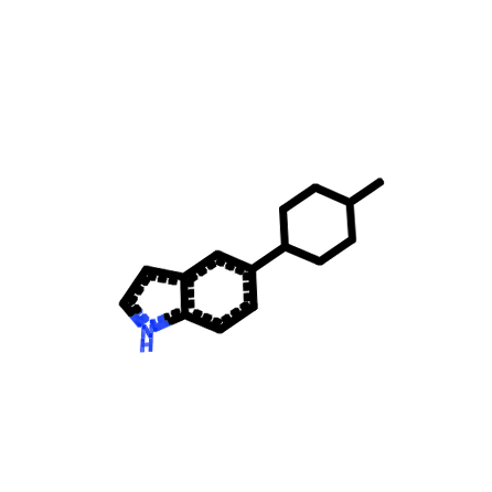 CC1CCC(c2ccc3[nH]ccc3c2)CC1